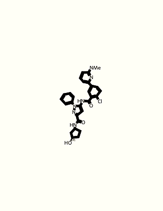 CNc1cccc(-c2ccc(Cl)c(C(=O)Nc3cc(C(=O)NC4CC[C@@H](O)C4)nn3-c3ccccc3)c2)n1